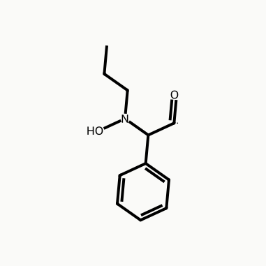 CCCN(O)C([C]=O)c1ccccc1